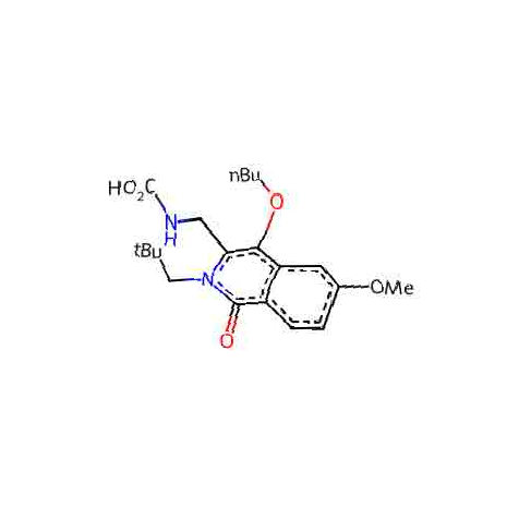 CCCCOc1c(CNC(=O)O)n(CC(C)(C)C)c(=O)c2ccc(OC)cc12